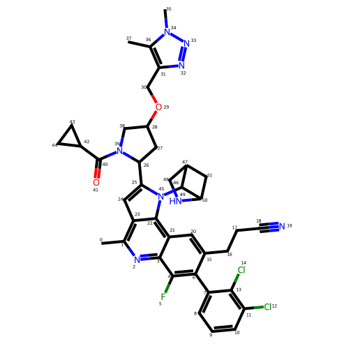 Cc1nc2c(F)c(-c3cccc(Cl)c3Cl)c(CCC#N)cc2c2c1cc(C1CC(OCc3nnn(C)c3C)CN1C(=O)C1CC1)n2C1C2CNC1C2